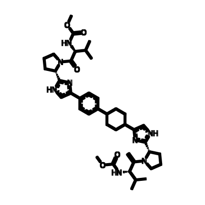 C=C([C@@H](NC(=O)OC)C(C)C)N1CCC[C@H]1c1nc(C2CCC(c3ccc(-c4c[nH]c([C@@H]5CCCN5C(=O)[C@@H](NC(=O)OC)C(C)C)n4)cc3)CC2)c[nH]1